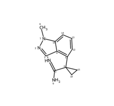 Cn1ncc2c(C3(C(=N)N)CC3)cccc21